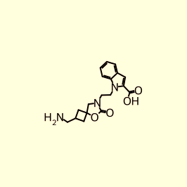 NCC1CC2(C1)CN(CCn1c(C(=O)O)cc3ccccc31)C(=O)O2